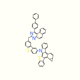 C1=CC2CC2c2c1c1c3ccccc3n(-c3ccc4sc5ccc(Cc6nc(-c7ccc(-c8ccccc8)cc7)c7c(ccc8ccccc87)n6)cc5c4c3)c1c1sc3ccccc3c21